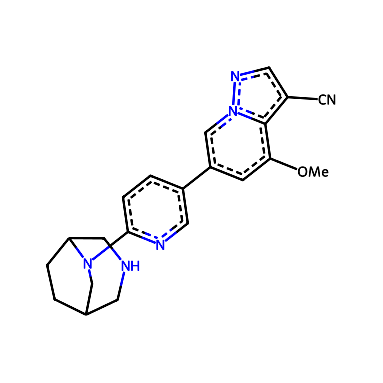 COc1cc(-c2ccc(N3CC4CCC3CNC4)nc2)cn2ncc(C#N)c12